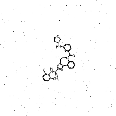 Cc1cccc(F)c1NC(=O)c1cc2c(s1)-c1ccccc1N(C(=O)c1cccc(N[C@@H]3CCOC3)n1)CC2